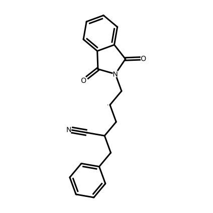 N#CC(C[CH]CN1C(=O)c2ccccc2C1=O)Cc1ccccc1